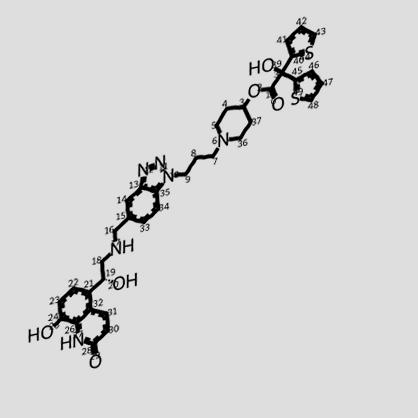 O=C(OC1CCN(CCCn2nnc3cc(CNC[C@H](O)c4ccc(O)c5[nH]c(=O)ccc45)ccc32)CC1)C(O)(c1cccs1)c1cccs1